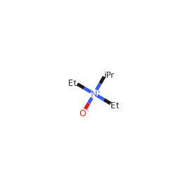 CC[N+]([O-])(CC)C(C)C